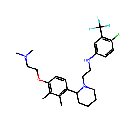 Cc1c(OCCN(C)C)ccc(C2CCCCN2CCNc2ccc(Cl)c(C(F)(F)F)c2)c1C